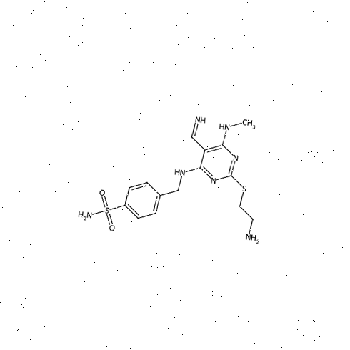 CNc1nc(SCCN)nc(NCc2ccc(S(N)(=O)=O)cc2)c1C=N